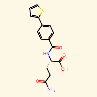 NC(=O)CC[C@H](NC(=O)c1ccc(-c2cccs2)cc1)C(=O)O